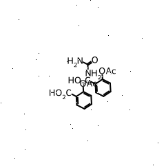 CC(=O)Oc1ccccc1C(=O)O.CC(=O)Oc1ccccc1C(=O)O.NC(N)=O